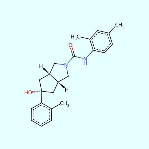 Cc1ccc(NC(=O)N2C[C@@H]3C[C@@](O)(c4ccccc4C)C[C@@H]3C2)c(C)c1